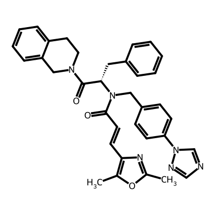 Cc1nc(C=CC(=O)N(Cc2ccc(-n3cncn3)cc2)[C@@H](Cc2ccccc2)C(=O)N2CCc3ccccc3C2)c(C)o1